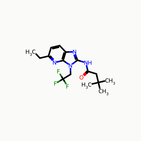 CCc1ccc2nc(NC(=O)CC(C)(C)C)n(CC(F)(F)F)c2n1